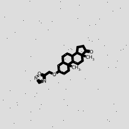 CC12CCC3C(CCC4CC(OCc5ncno5)CCC43C)C1CCC2=O